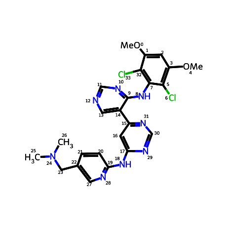 COc1cc(OC)c(Cl)c(Nc2ncncc2-c2cc(Nc3ccc(CN(C)C)cn3)ncn2)c1Cl